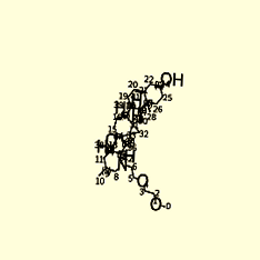 COCCOCCN1C[C@@H](C)C[C@H]2O[C@]3(CC[C@H]4[C@@H]5CC=C6C[C@@H](O)CC[C@]6(C)[C@H]5CC45CC53C)[C@H](C)[C@@H]21